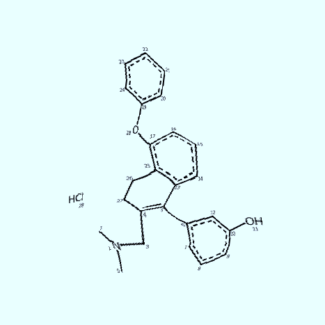 CN(C)CC1=C(c2cccc(O)c2)c2cccc(Oc3ccccc3)c2CC1.Cl